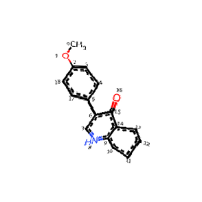 COc1ccc(-c2c[nH]c3ccccc3c2=O)cc1